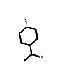 CC(O)[C@H]1CC[C@H](C)CC1